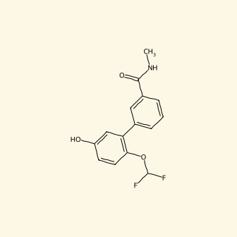 CNC(=O)c1cccc(-c2cc(O)ccc2OC(F)F)c1